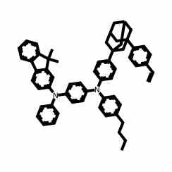 C=Cc1ccc(C23CC4CC(C2)CC(c2ccc(N(c5ccc(CCCC)cc5)c5ccc(N(c6ccccc6)c6ccc7c(c6)C(C)(C)c6ccccc6-7)cc5)cc2)(C4)C3)cc1